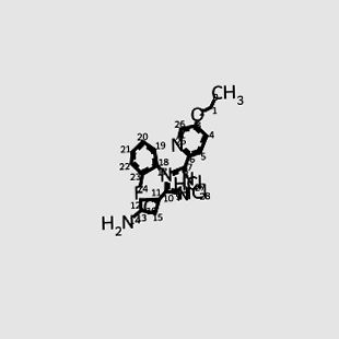 CCOc1ccc(-c2nnc(C34CC(N)(C3)C4)n2-c2ccccc2F)nc1.Cl.Cl